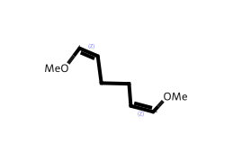 CO/[C]=C\CC/C=[C]\OC